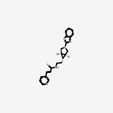 O=C(/C=C/c1cccnc1)NCC[C@@H]1[C@H]2CN(c3nc4ccccc4s3)C[C@@H]12